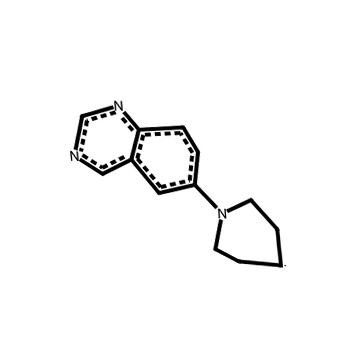 [CH]1CCN(c2ccc3ncncc3c2)CC1